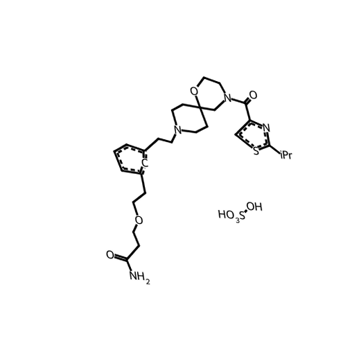 CC(C)c1nc(C(=O)N2CCOC3(CCN(CCc4cccc(CCOCCC(N)=O)c4)CC3)C2)cs1.O=S(=O)(O)O